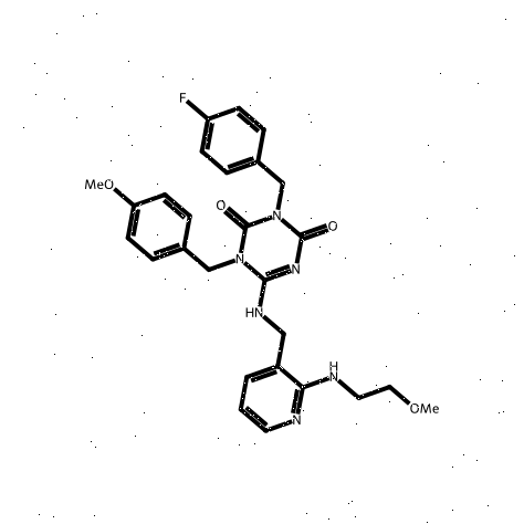 COCCNc1ncccc1CNc1nc(=O)n(Cc2ccc(F)cc2)c(=O)n1Cc1ccc(OC)cc1